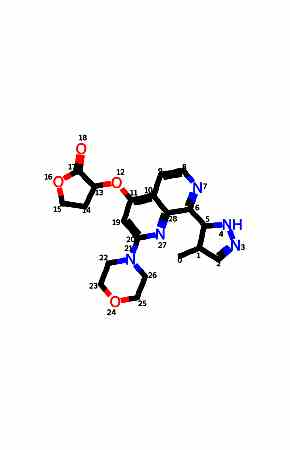 CC1C=NNC1c1nccc2c(OC3CCOC3=O)cc(N3CCOCC3)nc12